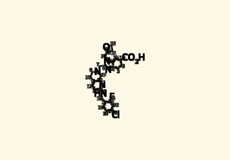 O=C(O)c1ccc2nc(CN3CCc4ccc(NCc5ccc(Cl)cc5F)nc4C3)n(C[C@@H]3CCO3)c2c1